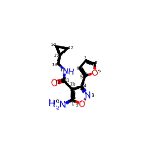 Nc1onc(-c2ccco2)c1C(=O)NCC1CC1